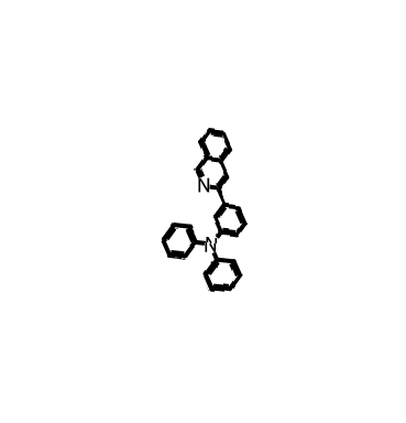 c1ccc(N(c2ccccc2)c2cccc(-c3cc4ccccc4cn3)c2)cc1